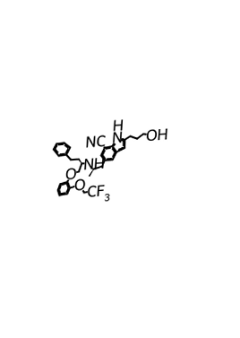 C[C@H](Cc1cc(C#N)c2[nH]c(CCCO)cc2c1)N[C@H](CCc1ccccc1)COc1ccccc1OCC(F)(F)F